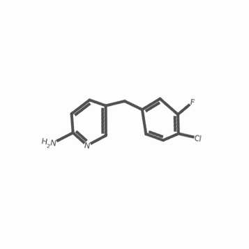 Nc1ccc(Cc2ccc(Cl)c(F)c2)cn1